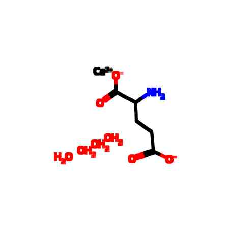 NC(CCC(=O)[O-])C(=O)[O-].O.O.O.O.[Ca+2]